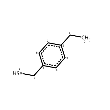 CCc1ccc(C[SeH])cc1